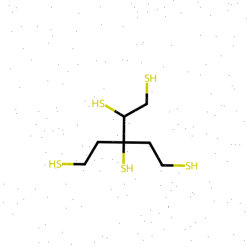 SCCC(S)(CCS)C(S)CS